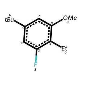 CCc1c(F)cc(C(C)(C)C)cc1OC